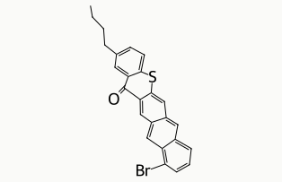 CCCCc1ccc2sc3cc4cc5cccc(Br)c5cc4cc3c(=O)c2c1